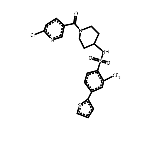 O=C(c1ccc(Cl)nc1)N1CCC(NS(=O)(=O)c2ccc(-c3cccs3)cc2C(F)(F)F)CC1